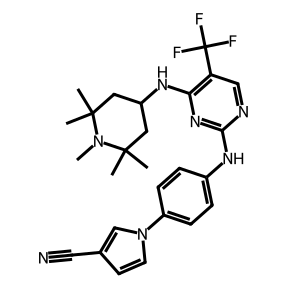 CN1C(C)(C)CC(Nc2nc(Nc3ccc(-n4ccc(C#N)c4)cc3)ncc2C(F)(F)F)CC1(C)C